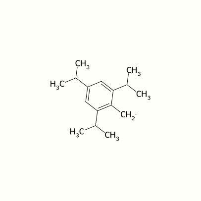 [CH2]c1c(C(C)C)cc(C(C)C)cc1C(C)C